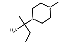 CCC(C)(N)N1CCN(C)CC1